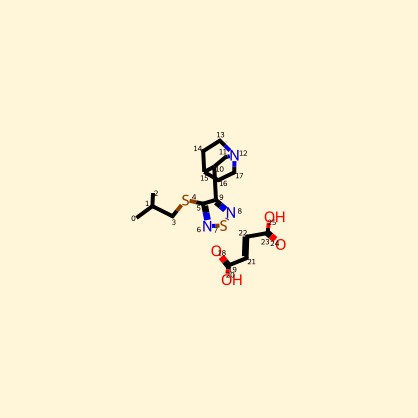 CC(C)CSc1nsnc1C1CN2CCC1CC2.O=C(O)C=CC(=O)O